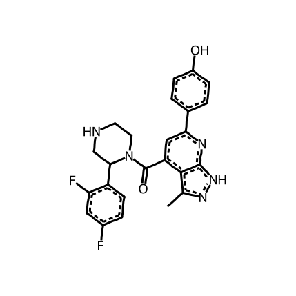 Cc1n[nH]c2nc(-c3ccc(O)cc3)cc(C(=O)N3CCNCC3c3ccc(F)cc3F)c12